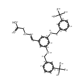 O=C(O)CON=Cc1cc(OCc2cccc(C(F)(F)F)c2)cc(OCc2cccc(C(F)(F)F)c2)c1